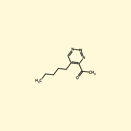 CCCCCc1cnnnc1C(C)=O